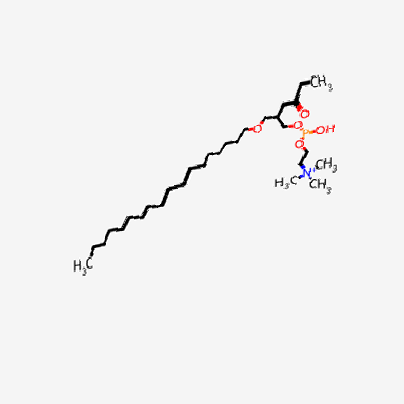 CCCCCCCCCCCCCCCCCCOCC(COP(O)OCC[N+](C)(C)C)CC(=O)CC